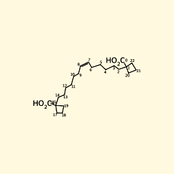 O=C(O)C1(CCCCC/C=C\CCCCCCC2(C(=O)O)CCC2)CCC1